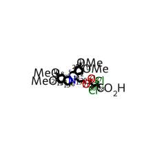 COc1ccc(C[C@@H]2c3cc(OC)c(OC)cc3CCN2CCCOC(=O)C(Cl)C(Cl)C(=O)O)cc1OC